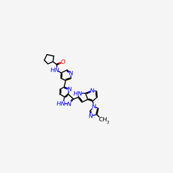 Cc1cn(-c2ccnc3[nH]c(-c4n[nH]c5ccc(-c6cncc(NC(=O)C7CCCC7)c6)nc45)cc23)cn1